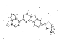 CC1CN(c2ccc(C#N)n3nccc23)CC2c3ccc(N4CCC(C)(N)C4)cc3CN12